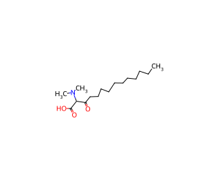 CCCCCCCCCCCC(=O)C(C(=O)O)N(C)C